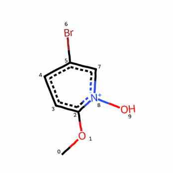 COc1ccc(Br)c[n+]1O